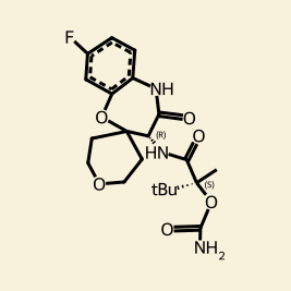 CC(C)(C)[C@](C)(OC(N)=O)C(=O)N[C@H]1C(=O)Nc2ccc(F)cc2OC12CCOCC2